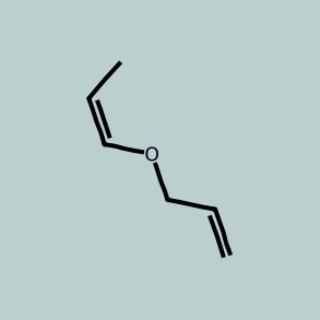 C=CCO/C=C\C